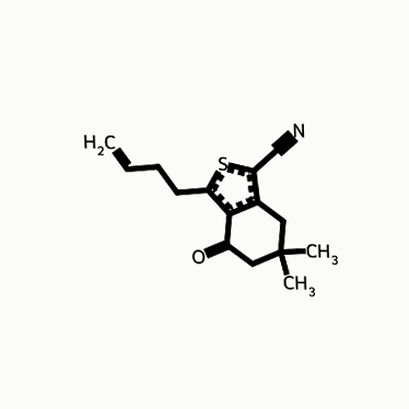 C=CCCc1sc(C#N)c2c1C(=O)CC(C)(C)C2